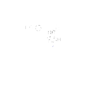 CC(C)(C)OC(=O)C[C@@H](NC(=O)/C=C/C1CCCCC1)C(=O)NCCc1ccc(O)cc1